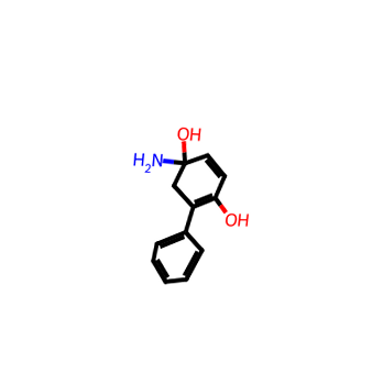 NC1(O)C=CC(O)=C(c2ccccc2)C1